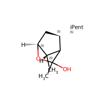 CCC[C@H](C)[C@@H]1C[C@@H]2OC(C)(O)C1[C@@H]2C